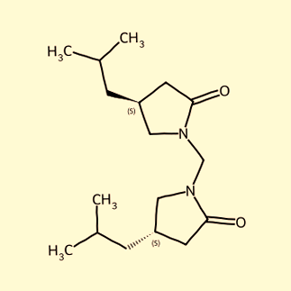 CC(C)C[C@H]1CC(=O)N(CN2C[C@@H](CC(C)C)CC2=O)C1